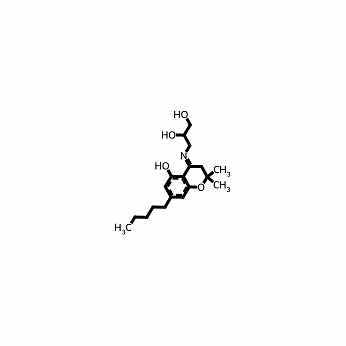 CCCCCc1cc(O)c2c(c1)OC(C)(C)CC2=NCC(O)CO